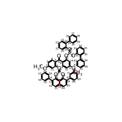 COc1ccc(C(=O)c2ccc(OC)cc2OP(Oc2ccccc2-c2ccccc2)Oc2ccccc2-c2ccccc2)c(OP(Oc2ccccc2-c2ccccc2)Oc2ccccc2-c2ccccc2)c1